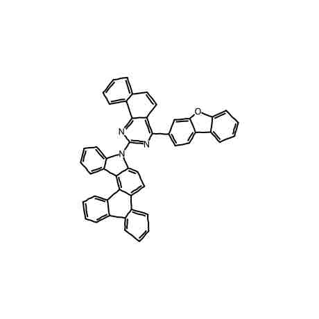 c1ccc2c(c1)ccc1c(-c3ccc4c(c3)oc3ccccc34)nc(-n3c4ccccc4c4c5c6ccccc6c6ccccc6c5ccc43)nc12